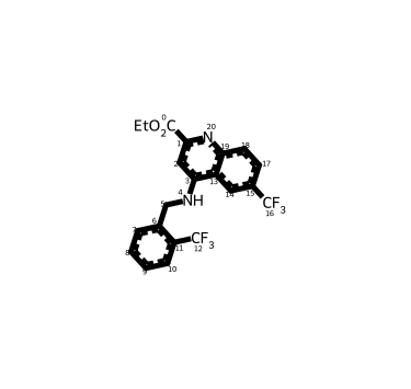 CCOC(=O)c1cc(NCc2ccccc2C(F)(F)F)c2cc(C(F)(F)F)ccc2n1